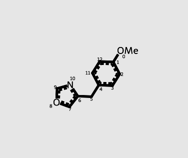 COc1ccc(Cc2cocn2)cc1